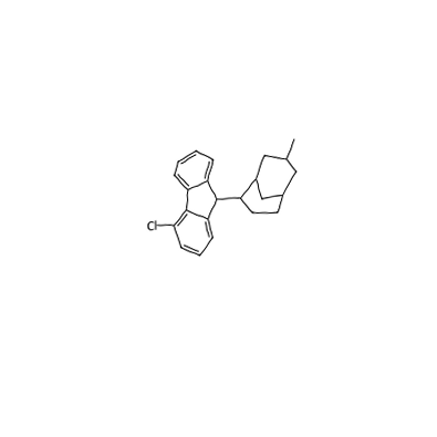 CC1CC2CCC(C3c4ccccc4-c4c(Cl)cccc43)C(C1)C2